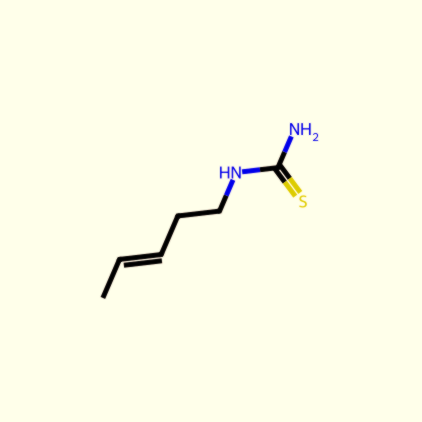 CC=CCCNC(N)=S